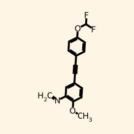 C=Nc1cc(C#Cc2ccc(OC(F)F)cc2)ccc1OC